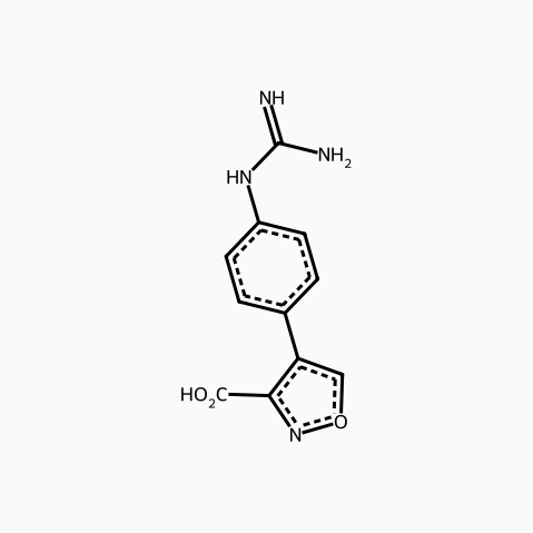 N=C(N)Nc1ccc(-c2conc2C(=O)O)cc1